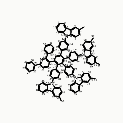 Cc1ccc2c(c1)c1ccccc1n2-c1ccc(-c2cc(-c3ccc(-c4ccccc4)nc3-c3ccccc3)c(-c3ccc(-n4c5ccccc5c5cc(C)ccc54)cc3)c(-c3ccc(-n4c5ccccc5c5cc(C)ccc54)cc3)c2-c2ccc(-n3c4ccc(C)cc4c4cc(C)ccc43)cc2)cc1